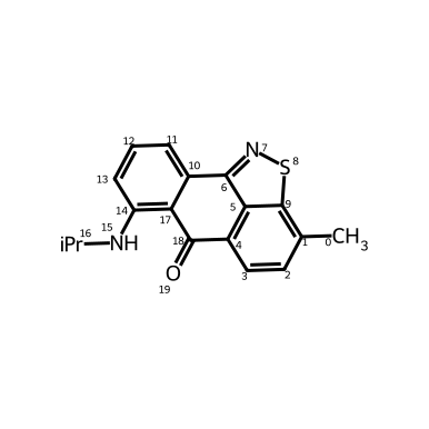 Cc1ccc2c3c(nsc13)-c1cccc(NC(C)C)c1C2=O